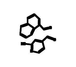 O=Cc1cccc2ccccc12.O=Cc1ccnc(O)c1